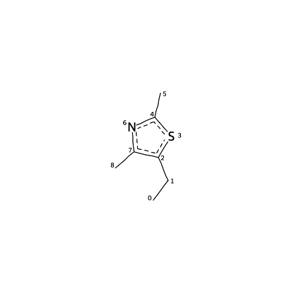 CCc1sc(C)nc1C